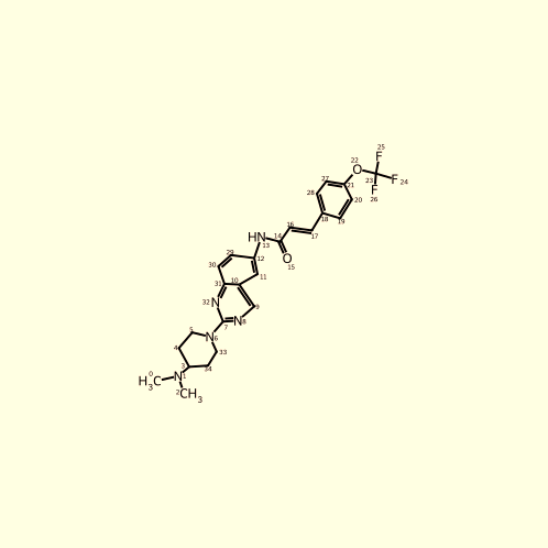 CN(C)C1CCN(c2ncc3cc(NC(=O)/C=C/c4ccc(OC(F)(F)F)cc4)ccc3n2)CC1